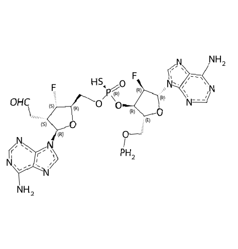 Nc1ncnc2c1ncn2[C@@H]1O[C@H](COP)[C@@H](O[P@](=O)(S)OC[C@H]2O[C@@H](n3cnc4c(N)ncnc43)[C@H](CC=O)[C@@H]2F)[C@H]1F